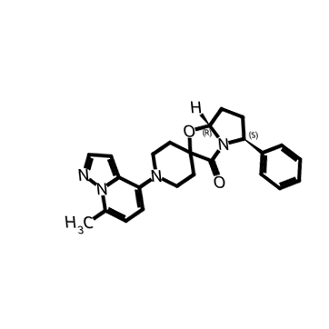 Cc1ccc(N2CCC3(CC2)O[C@@H]2CC[C@@H](c4ccccc4)N2C3=O)c2ccnn12